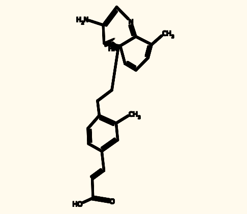 CC1=CC=CC23NC(CCc4ccc(/C=C/C(=O)O)cc4C)=CC=C2C(N)=CN=C13